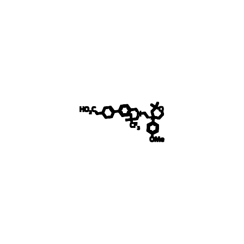 COc1ccc([C@]2(CCN(Cc3ccc(C4=CCC(CC(=O)O)CC4)cc3)CC(C)(C)C(F)(F)F)CCOC(C)(C)C2)cc1